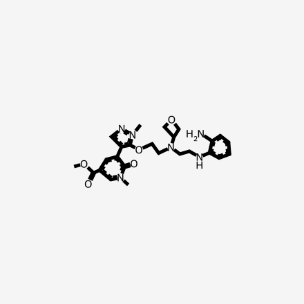 COC(=O)c1cc(-c2cnn(C)c2OCCN(CCNc2ccccc2N)C2COC2)c(=O)n(C)c1